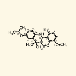 COc1ccc(Br)c2c1OCC1C2Nc2ccc(OC(C)C)cc2C1(C)C